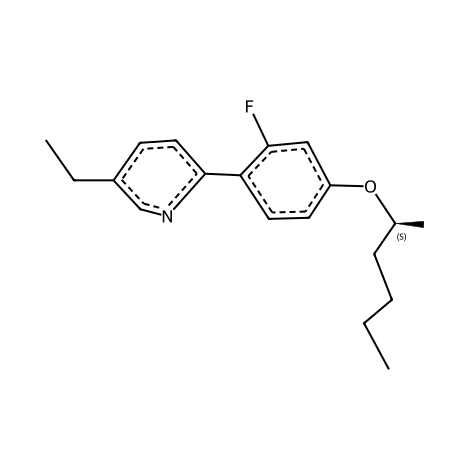 CCCC[C@H](C)Oc1ccc(-c2ccc(CC)cn2)c(F)c1